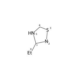 CCC1[N]SCN1